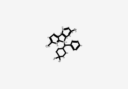 FC1(F)CCC(C(c2ccccc2)n2c3cc(Br)cnc3c3ccc(Cl)nc32)CC1